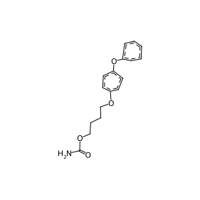 NC(=O)OCCCCOc1ccc(Oc2ccccc2)cc1